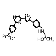 CC(O)CNCc1ccc(-c2cc(-c3cncc(-c4ccc([S+]([O-])C(C)C)cc4)n3)on2)cc1